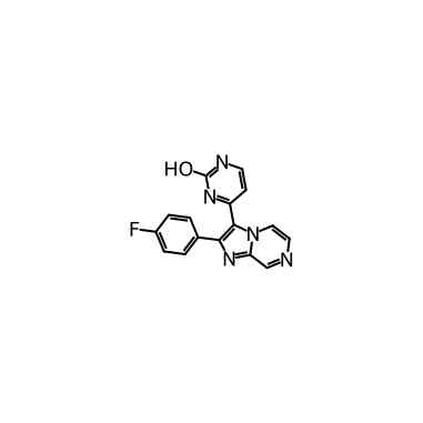 Oc1nccc(-c2c(-c3ccc(F)cc3)nc3cnccn23)n1